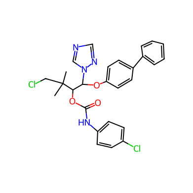 CC(C)(CCl)C(OC(=O)Nc1ccc(Cl)cc1)C(Oc1ccc(-c2ccccc2)cc1)n1cncn1